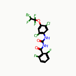 O=C(NC(=O)c1c(F)cccc1F)Nc1cc(Cl)c(OC(F)(F)C(F)Br)cc1Cl